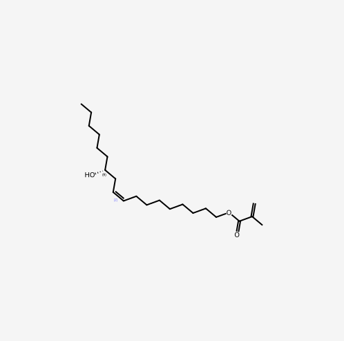 C=C(C)C(=O)OCCCCCCCC/C=C\C[C@H](O)CCCCCC